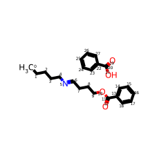 CCCCCN=CCCCOC(=O)c1ccccc1.O=C(O)c1ccccc1